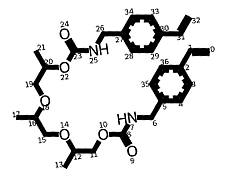 C=Cc1ccc(CNC(=O)OCC(C)OCC(C)OCC(C)OC(=O)NCc2ccc(C=C)cc2)cc1